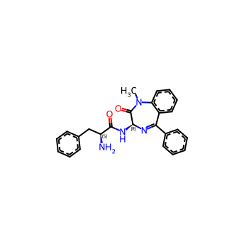 CN1C(=O)[C@H](NC(=O)[C@@H](N)Cc2ccccc2)N=C(c2ccccc2)c2ccccc21